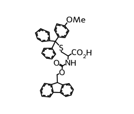 COc1ccc(C(SCC(NC(=O)OCC2c3ccccc3-c3ccccc32)C(=O)O)(c2ccccc2)c2ccccc2)cc1